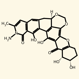 Cc1cc2cc3c(c(O)c2c(=O)n1N)-c1c2c(c4oc5c(c(=O)c4c1O)[C@@H](O)[C@@H](O)CC5)OCO[C@@H]2C3